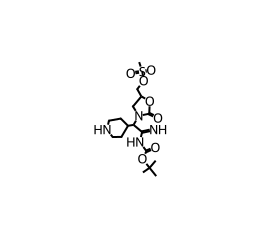 CC(C)(C)OC(=O)NC(=N)C(C1CCNCC1)N1CC(COS(C)(=O)=O)OC1=O